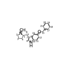 CN1CCCC1Cc1c[nH]c2ccc(OCc3ccccc3)cc12